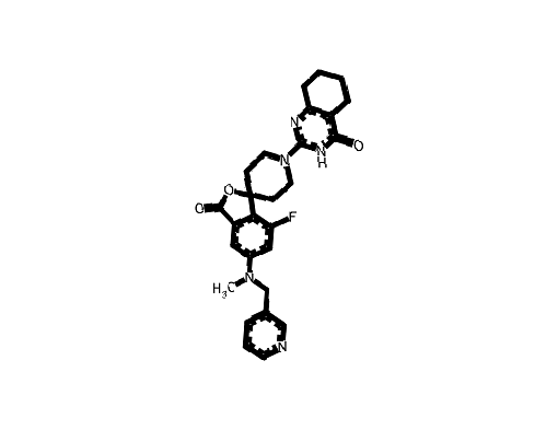 CN(Cc1cccnc1)c1cc(F)c2c(c1)C(=O)OC21CCN(c2nc3c(c(=O)[nH]2)CCCC3)CC1